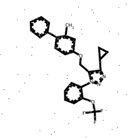 Cc1cc(OCc2c(C3CC3)nnn2-c2ccccc2OC(F)(F)F)ccc1-c1ccccc1